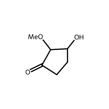 COC1C(=O)CCC1O